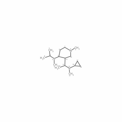 CC(C)N(C)C1CCN(C)CC1C(C)N(C)C1CC1